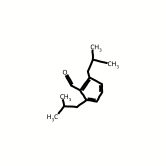 CC(C)Cc1cccc(CC(C)C)c1C=O